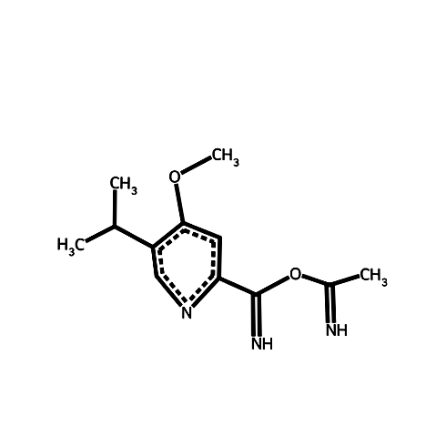 COc1cc(C(=N)OC(C)=N)ncc1C(C)C